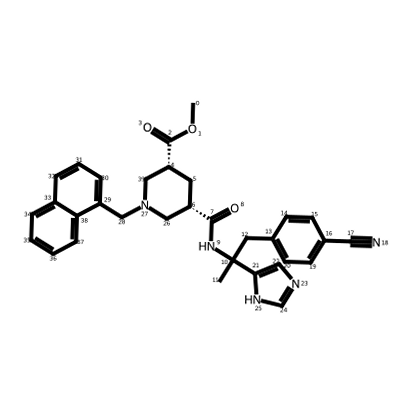 COC(=O)[C@@H]1C[C@H](C(=O)NC(C)(Cc2ccc(C#N)cc2)c2cnc[nH]2)CN(Cc2cccc3ccccc23)C1